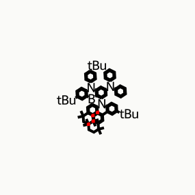 CC(C)(C)c1ccc(N2c3ccc(C(C)(C)C)cc3B3c4cc5c(cc4N(c4ccc(C(C)(C)C)cc4-c4ccc6c(c4)C(C)(C)CCC6(C)C)c4cc(N(c6ccccc6)c6ccccc6)cc2c43)C(C)(C)CCC5(C)C)cc1